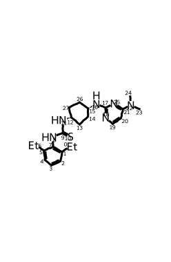 CCc1cccc(CC)c1NC(=S)N[C@H]1CC[C@@H](Nc2nccc(N(C)C)n2)CC1